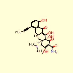 CCCCC#Cc1ccc(O)c2c1C[C@@H]1C[C@@H]3[C@@H](N(C)C)C(O)=C(C(N)=O)C(=O)[C@]3(O)C(O)=C1C2=O